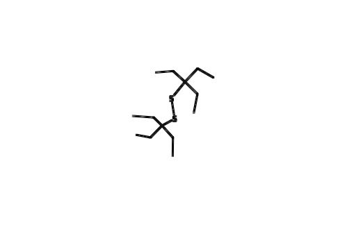 CCC(CC)(CC)SSC(CC)(CC)CC